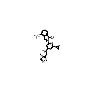 C[C@H](Cc1nncn1C)c1cc(C2CC2)nc(N2Cc3c(cccc3C(F)(F)F)C2=O)c1